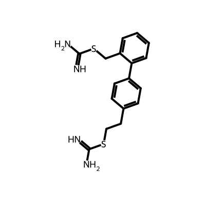 N=C(N)SCCc1ccc(-c2ccccc2CSC(=N)N)cc1